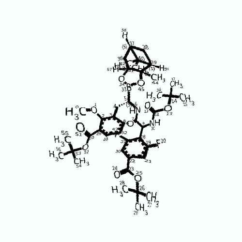 COc1c(C[C@@H](NC(=O)C(NC(=O)OC(C)(C)C)c2c(F)cc(C(=O)OC(C)(C)C)cc2F)B2O[C@@H]3C[C@@H]4C[C@@H](C4(C)C)[C@]3(C)O2)cccc1C(=O)OC(C)(C)C